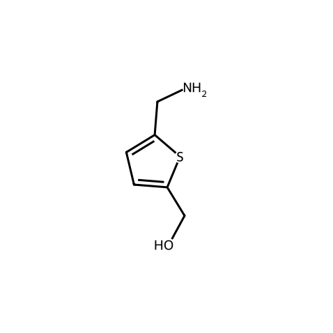 NCc1ccc(CO)s1